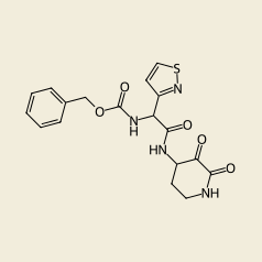 O=C(NC(C(=O)NC1CCNC(=O)C1=O)c1ccsn1)OCc1ccccc1